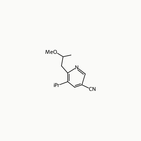 COC(C)Cc1ncc(C#N)cc1C(C)C